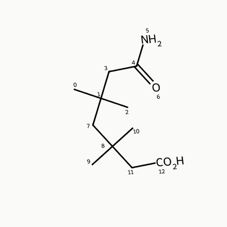 CC(C)(CC(N)=O)CC(C)(C)CC(=O)O